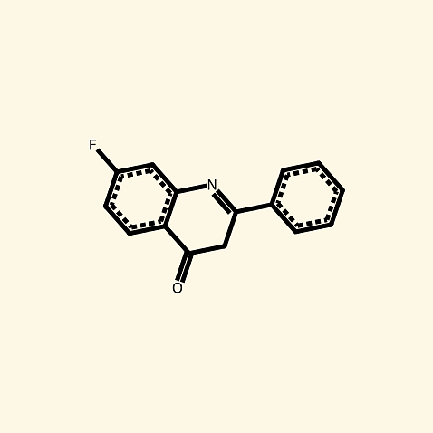 O=C1CC(c2ccccc2)=Nc2cc(F)ccc21